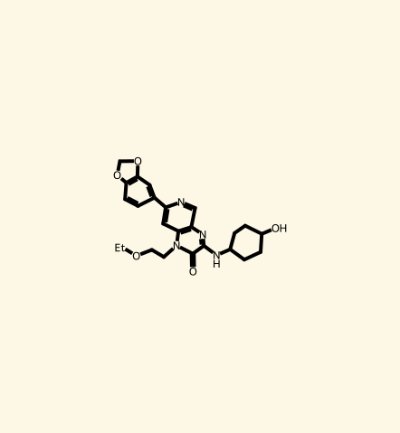 CCOCCn1c(=O)c(NC2CCC(O)CC2)nc2cnc(-c3ccc4c(c3)OCO4)cc21